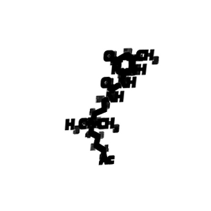 CC(=O)CCCC[N+](C)(C)CCCNC(=O)Nc1nc(=O)cc(C)[nH]1